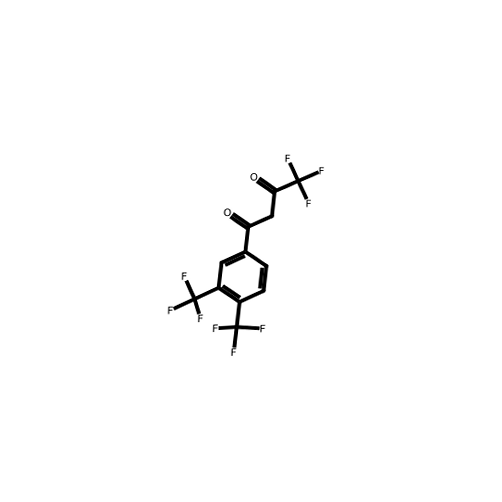 O=C(CC(=O)C(F)(F)F)c1ccc(C(F)(F)F)c(C(F)(F)F)c1